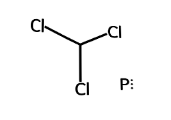 ClC(Cl)Cl.[P]